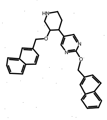 c1ccc2cc(COc3ncc(C4CCNCC4OCc4ccc5ccccc5c4)cn3)ccc2c1